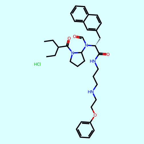 CCC(CC)C(=O)N1CCCC1N(C=O)[C@H](Cc1ccc2ccccc2c1)C(=O)NCCCNCCOc1ccccc1.Cl